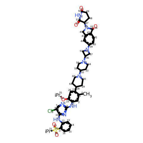 Cc1cc(Nc2ncc(Cl)c(Nc3ccccc3S(=O)(=O)C(C)C)n2)c(OC(C)C)cc1C1CCN(C2CCN(C3CN(c4ccc5c(c4)CN(C4CCC(=O)NC4=O)C5=O)C3)CC2)CC1